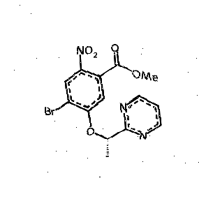 COC(=O)c1cc(O[C@@H](C)c2ncccn2)c(Br)cc1[N+](=O)[O-]